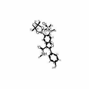 CNC(=O)c1c(-c2ccc(F)cc2)oc2cc(N(C)[SH](C)(C)=O)c(B3OC(C)(C)C(C)(C)O3)cc12